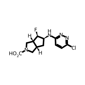 O=C(O)N1C[C@H]2C[C@H](Nc3ccc(Cl)nn3)[C@H](F)[C@H]2C1